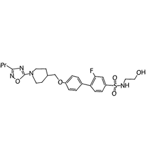 CC(C)c1noc(N2CCC(COc3ccc(-c4ccc(S(=O)(=O)NCCO)cc4F)cc3)CC2)n1